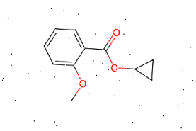 COc1ccccc1C(=O)OC1CC1